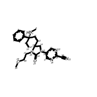 CN[C@]1(c2ccccc2)CC[C@]2(CC1)CN(c1cnc(C#N)nc1)C(=O)N2CCOC